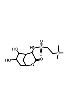 C[Si](C)(C)CCS(=O)(=O)NC1C(=O)OC2CC(O)C(O)C1C2